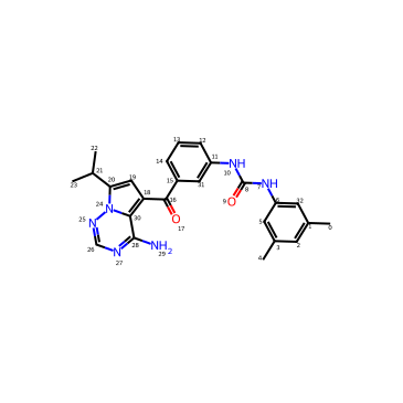 Cc1cc(C)cc(NC(=O)Nc2cccc(C(=O)c3cc(C(C)C)n4ncnc(N)c34)c2)c1